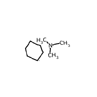 CN(C)C.[CH]1CCCCC1